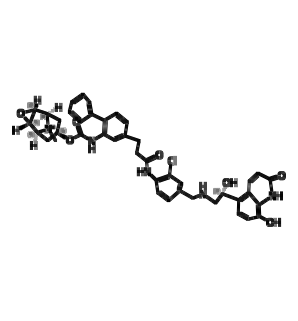 C[N+]1(C)[C@@H]2C[C@@H](OC(=O)Nc3cc(CCC(=O)Nc4ccc(CNC[C@H](O)c5ccc(O)c6[nH]c(=O)ccc56)cc4Cl)ccc3-c3ccccc3)C[C@H]1[C@@H]1O[C@@H]12